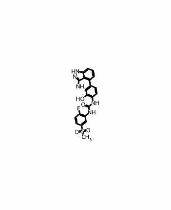 CS(=O)(=O)c1ccc(F)c(NC(=O)Nc2ccc(-c3cccc4[nH]nc(N)c34)cc2O)c1